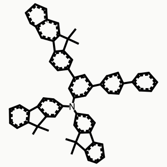 CC1(C)c2ccccc2-c2ccc(N(c3cc(-c4ccc(-c5ccccc5)cc4)cc(-c4ccc5c(c4)C(C)(C)c4cc6ccccc6cc4-5)c3)c3ccc4c(c3)C(C)(C)c3ccccc3-4)cc21